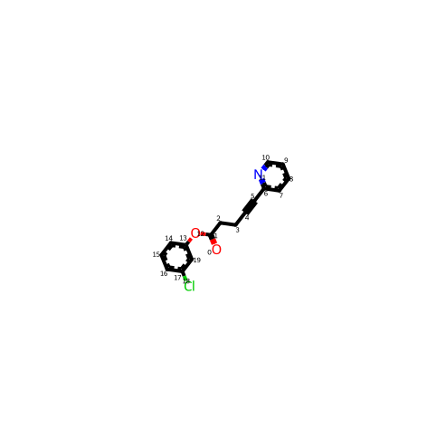 O=C(CCC#Cc1ccccn1)Oc1cccc(Cl)c1